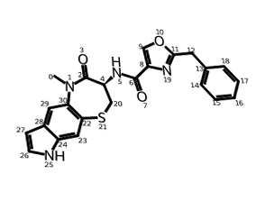 CN1C(=O)[C@@H](NC(=O)c2coc(Cc3ccccc3)n2)CSc2cc3[nH]ccc3cc21